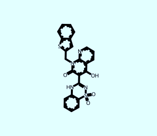 O=c1c(C2=NS(=O)(=O)c3ccccc3N2)c(O)c2cccnc2n1Cc1cc2ccccc2s1